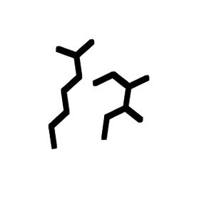 CCC(C)C(C)CC.CCCCCC(C)C